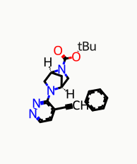 C#Cc1ccnnc1N1C[C@@H]2C[C@H]1CN2C(=O)OC(C)(C)C.c1ccccc1